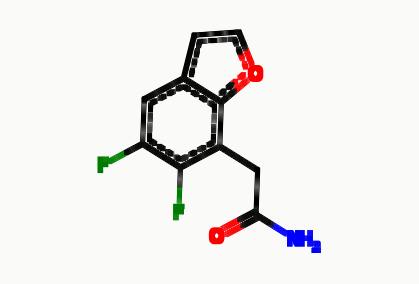 NC(=O)Cc1c(F)c(F)cc2ccoc12